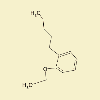 CCCCCc1ccccc1OCC